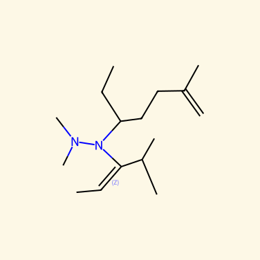 C=C(C)CCC(CC)N(/C(=C\C)C(C)C)N(C)C